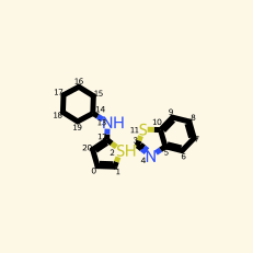 C1=C[SH](c2nc3ccccc3s2)C(NC2CCCCC2)=C1